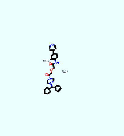 O=C(COCC(=O)N1CCN(C(c2ccccc2)c2ccccc2)CC1)Nc1ccc(-c2ccncc2)cc1C(=O)[O-].[Na+]